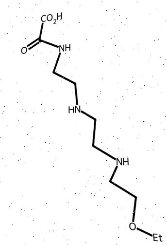 CCOCCNCCNCCNC(=O)C(=O)O